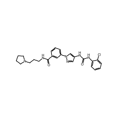 O=C(Nc1cnn(-c2cccc(C(=O)NCCCN3CCCC3)c2)c1)Nc1ccccc1Cl